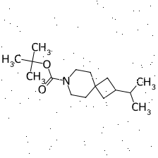 CC(C)C1CC2(CCN(C(=O)OC(C)(C)C)CC2)C1